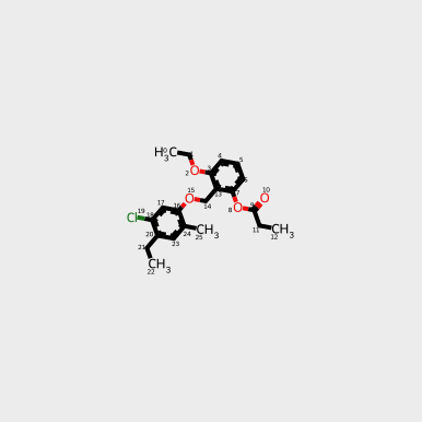 CCOc1cccc(OC(=O)CC)c1COc1cc(Cl)c(CC)cc1C